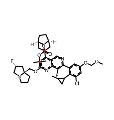 COCOc1cc(Cl)c(C2CC2C)c(-c2ncc3c(N4C[C@H]5CC[C@@H](C4)N5C(=O)OC(C)(C)C)nc(OC[C@@]45CCCN4C[C@H](F)C5)nc3c2F)c1